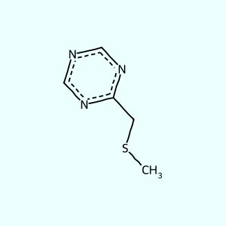 CSCc1ncncn1